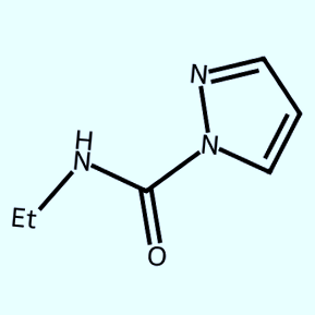 CCNC(=O)n1cccn1